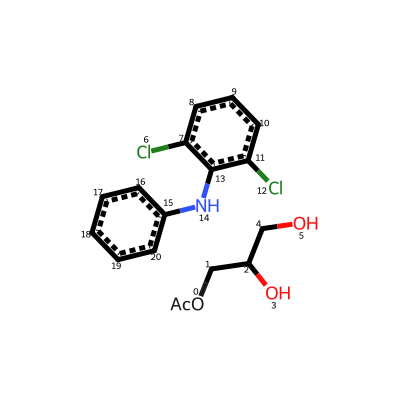 CC(=O)OCC(O)CO.Clc1cccc(Cl)c1Nc1ccccc1